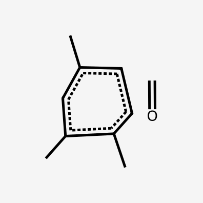 C=O.Cc1ccc(C)c(C)c1